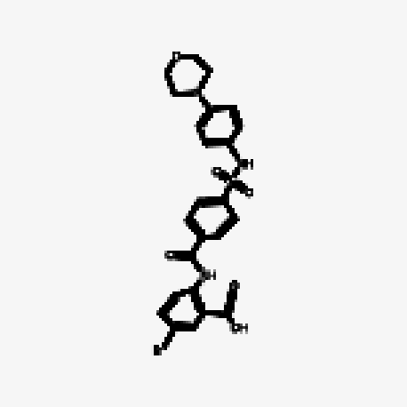 O=C(Nc1ccc(Br)cc1C(=O)O)c1ccc(S(=O)(=O)Nc2ccc(N3CCOCC3)cc2)cc1